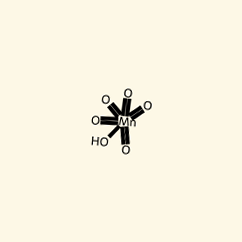 [O]=[Mn](=[O])(=[O])(=[O])(=[O])[OH]